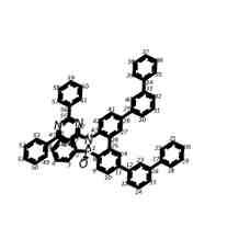 O=P1(c2ccccc2)c2ccc(-c3cccc(-c4ccccc4)c3)cc2-c2cc(-c3cccc(-c4ccccc4)c3)ccc2N1c1nc(-c2ccccc2)nc(-c2ccccc2)n1